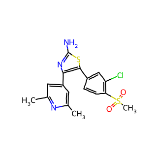 Cc1cc(-c2nc(N)sc2-c2ccc(S(C)(=O)=O)c(Cl)c2)cc(C)n1